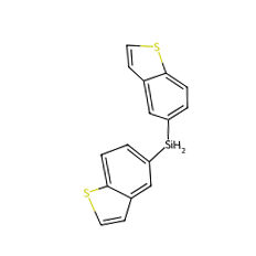 c1cc2cc([SiH2]c3ccc4sccc4c3)ccc2s1